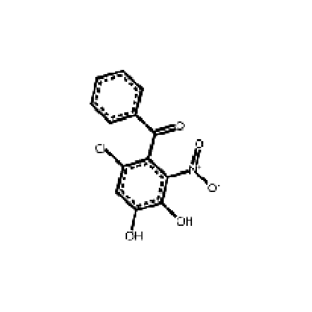 O=C(c1ccccc1)c1c(Cl)cc(O)c(O)c1[N+](=O)[O-]